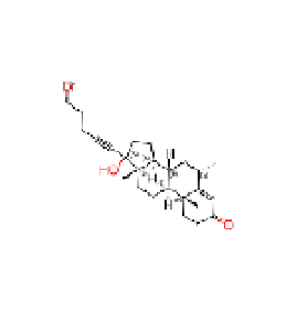 C[C@H]1C[C@@H]2[C@H](CC[C@@]3(C)[C@H]2CC[C@@]3(O)C#CCCCBr)[C@@]2(C)CCC(=O)C=C12